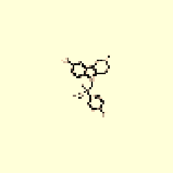 CN1CCc2c(c3cc(Cl)ccc3n2C[C@@](C)(O)c2ccc(F)cc2)C1